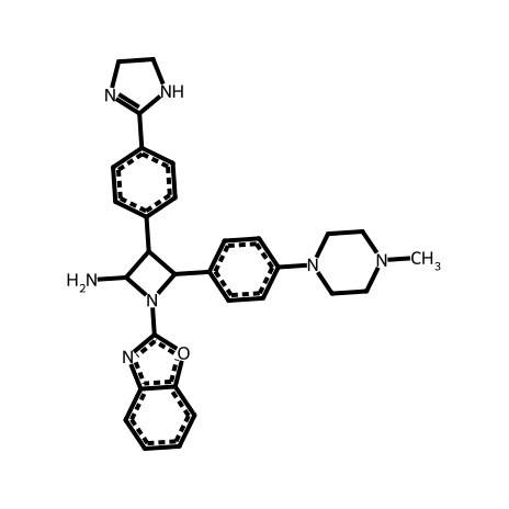 CN1CCN(c2ccc(C3C(c4ccc(C5=NCCN5)cc4)C(N)N3c3nc4ccccc4o3)cc2)CC1